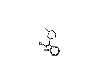 CCc1[nH]c2ccccc2c1C1=CCCN(C)C1